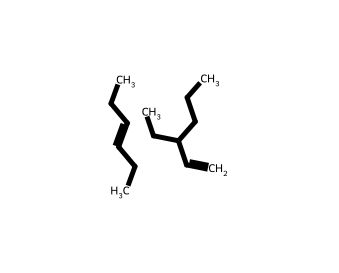 C=CC(CC)CCC.CC/C=C/CC